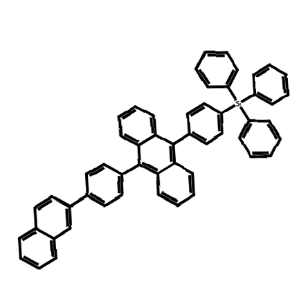 c1ccc([Si](c2ccccc2)(c2ccccc2)c2ccc(-c3c4ccccc4c(-c4ccc(-c5ccc6ccccc6c5)cc4)c4ccccc34)cc2)cc1